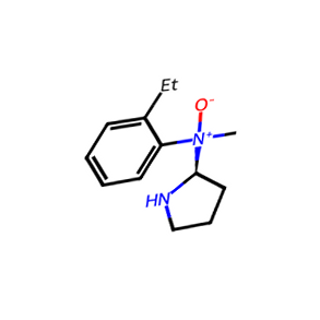 CCc1ccccc1[N+](C)([O-])[C@H]1CCCN1